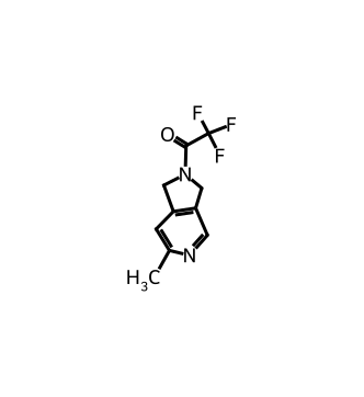 Cc1cc2c(cn1)CN(C(=O)C(F)(F)F)C2